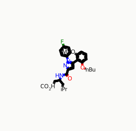 CCCCOc1cccc(OC)c1-c1cc(C(=O)NC(CC(=O)O)CC(C)C)nn1-c1ccc(F)cc1